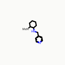 CNC1CCCCC1NCc1ccncc1